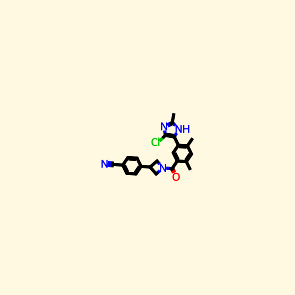 Cc1nc(Cl)c(-c2cc(C(=O)N3CC(c4ccc(C#N)cc4)C3)c(C)cc2C)[nH]1